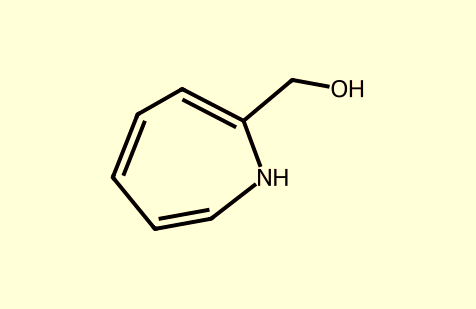 OCC1=CC=CC=CN1